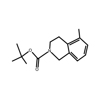 Cc1cccc2c1CCN(C(=O)OC(C)(C)C)C2